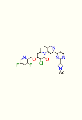 CC(=O)N1CC(c2nccc(C3=NC[C@H](C)C(n4c(C)cc(OCc5ncc(F)cc5F)c(Cl)c4=O)=C3)n2)C1